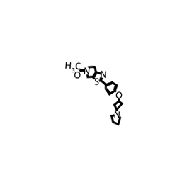 CC(=O)N1CCc2nc(-c3ccc(OC4CC(N5CCCC5)C4)cc3)sc2C1